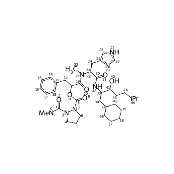 CNC(=O)N1CCCN1C(=O)OC(Cc1ccccc1)C(=O)N(C)[C@@H](Cc1c[nH]cn1)C(=O)NC(CC1CCCCC1)C(O)CCC(C)C